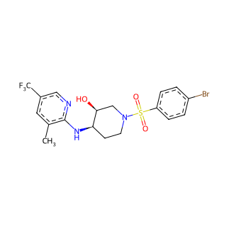 Cc1cc(C(F)(F)F)cnc1N[C@@H]1CCN(S(=O)(=O)c2ccc(Br)cc2)C[C@@H]1O